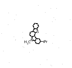 CC(C)c1ccc2c(c1)c1c3sc4ccccc4c3ccc1n2C